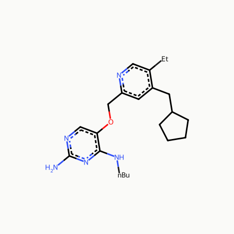 CCCCNc1nc(N)ncc1OCc1cc(CC2CCCC2)c(CC)cn1